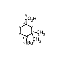 CC(C)(C)N1CCC(C(=O)O)CC1(C)C